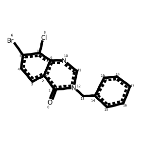 O=c1c2ccc(Br)c(Cl)c2ncn1Cc1ccccc1